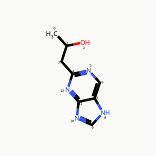 CC(O)Cc1ncc2[nH]cnc2n1